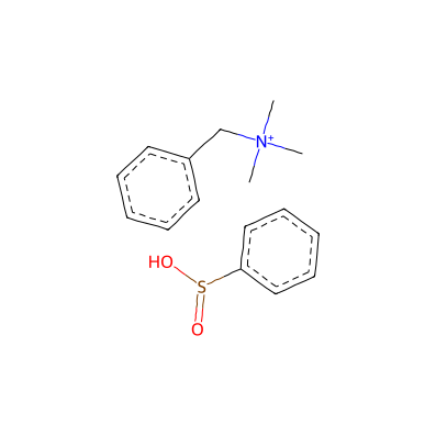 C[N+](C)(C)Cc1ccccc1.O=S(O)c1ccccc1